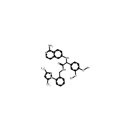 CCOc1cc(C(Nc2ccc3c(N)nccc3c2)C(=O)NCc2ccccc2-n2nc(C(F)(F)F)cc2C(F)(F)F)ccc1OC(C)C